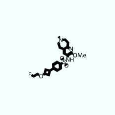 COc1nc2c(cc1NS(=O)(=O)c1ccc(C3CC(OCCF)C3)cc1)CCN(C)CC2